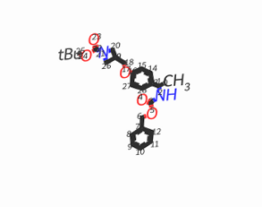 CC(NC(=O)OCc1ccccc1)c1ccc(OCC2CN(C(=O)OC(C)(C)C)C2)cc1